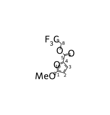 COc1ccc(C(=O)OCC(F)(F)F)o1